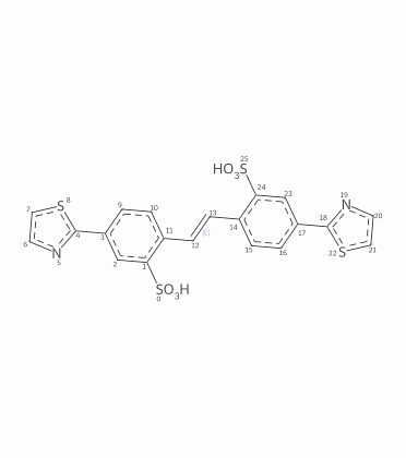 O=S(=O)(O)c1cc(-c2nccs2)ccc1/C=C/c1ccc(-c2nccs2)cc1S(=O)(=O)O